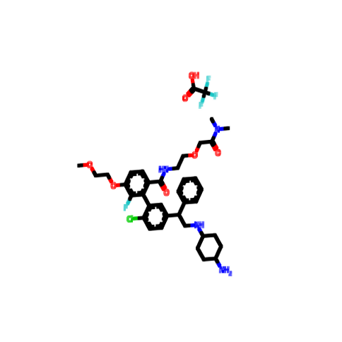 COCCOc1ccc(C(=O)NCCOCC(=O)N(C)C)c(-c2cc(C(CNC3CCC(N)CC3)c3ccccc3)ccc2Cl)c1F.O=C(O)C(F)(F)F